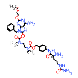 COCCOc1nc(N)c2nc(OC(=O)N(C)CCN(C)C(=O)OCc3ccc(NC(=O)[C@@H](N)CCCNC(N)=O)cc3)n(Cc3ccccc3)c2n1